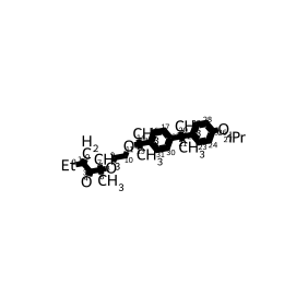 C=C(CC)C(=O)C(C)(C)OCCOC(C)(C)c1ccc(C(C)(C)c2ccc(OC(C)C)cc2)cc1